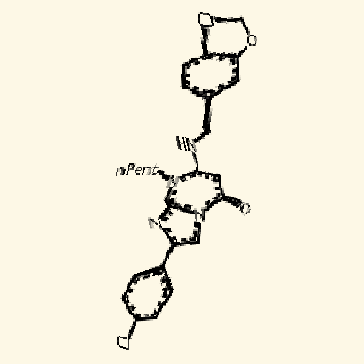 CCCCCn1c(NCc2ccc3c(c2)OCO3)cc(=O)n2cc(-c3ccc(Cl)cc3)nc12